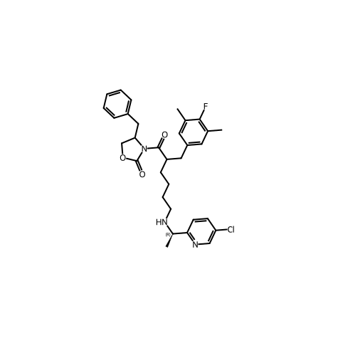 Cc1cc(CC(CCCCN[C@H](C)c2ccc(Cl)cn2)C(=O)N2C(=O)OCC2Cc2ccccc2)cc(C)c1F